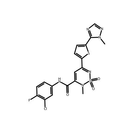 CN1C(C(=O)Nc2ccc(F)c(Cl)c2)=CC(c2ccc(-c3ncnn3C)s2)=NS1(=O)=O